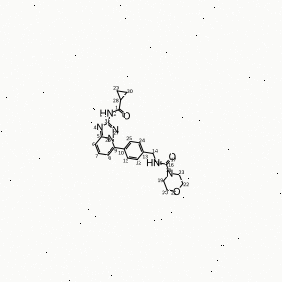 O=C(Nc1nc2cccc(-c3ccc(CNC(=O)N4CCOCC4)cc3)n2n1)C1CC1